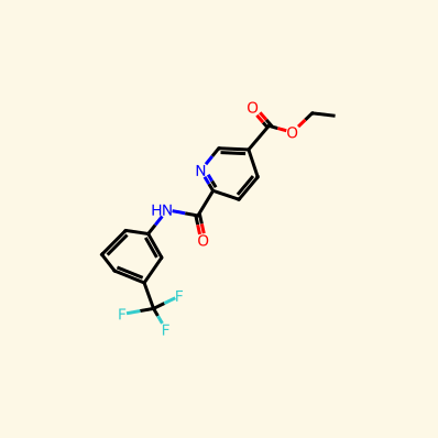 CCOC(=O)c1ccc(C(=O)Nc2cccc(C(F)(F)F)c2)nc1